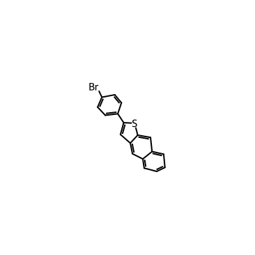 Brc1ccc(-c2cc3cc4ccccc4cc3s2)cc1